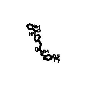 O=C(CC1CCC(NC(=O)C2CCCN2)CC1)NCc1cccc(OC(F)(F)F)c1